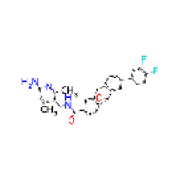 Cc1cc(N)nc(C)c1CNC(=O)c1ccc2c(c1)C1OC2c2cc(-c3ccc(F)c(F)c3)ccc21